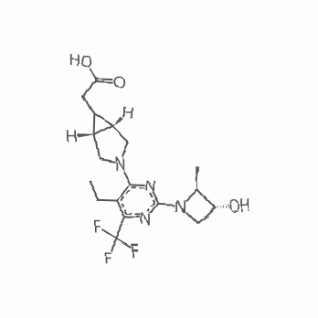 CCc1c(N2C[C@@H]3C(CC(=O)O)[C@@H]3C2)nc(N2C[C@@H](O)[C@@H]2C)nc1C(F)(F)F